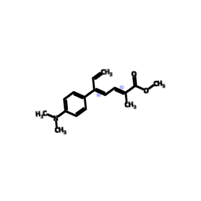 C=C/C(=C\C=C(/C)C(=O)OC)c1ccc(N(C)C)cc1